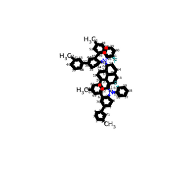 Cc1cccc(-c2ccc(N(C3=C4C=CC5=C6C(=CC=C(C=C3)C46)C(N(c3ccccc3F)c3ccc(-c4cccc(C)c4)cc3-c3cccc(C)c3)C=C5)c3ccccc3F)c(-c3cccc(C)c3)c2)c1